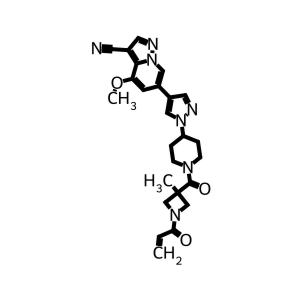 C=CC(=O)N1CC(C)(C(=O)N2CCC(n3cc(-c4cc(OC)c5c(C#N)cnn5c4)cn3)CC2)C1